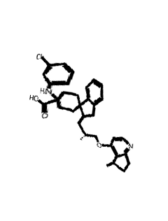 CC1CCc2nccc(OC[C@H](C)CC3Cc4ccccc4C34CCC(Nc3cccc(Cl)c3)(C(=O)O)CC4)c21